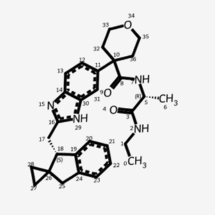 CCNC(=O)[C@@H](C)NC(=O)C1(c2ccc3nc(C[C@@H]4c5ccccc5CC45CC5)[nH]c3c2)CCOCC1